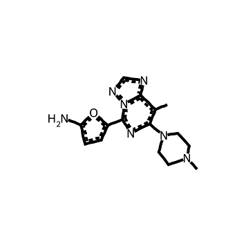 Cc1c(N2CCN(C)CC2)nc(-c2ccc(N)o2)n2ncnc12